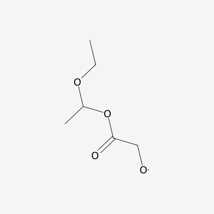 CCOC(C)OC(=O)C[O]